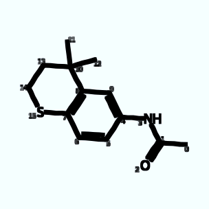 CC(=O)Nc1ccc2c(c1)C(C)(C)CCS2